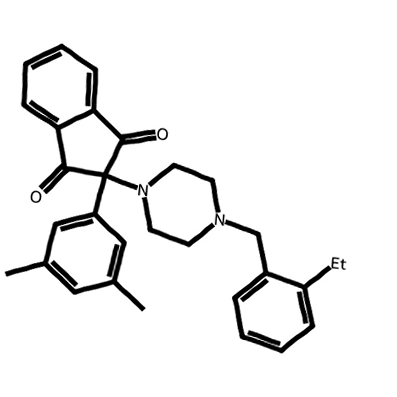 CCc1ccccc1CN1CCN(C2(c3cc(C)cc(C)c3)C(=O)c3ccccc3C2=O)CC1